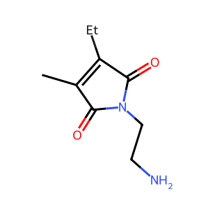 CCC1=C(C)C(=O)N(CCN)C1=O